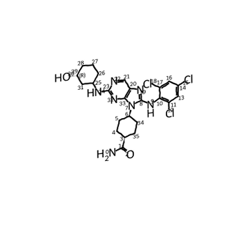 NC(=O)[C@H]1CC[C@@H](n2c(Nc3c(Cl)cc(Cl)cc3Cl)nc3cnc(NC4CCC[C@@H](O)C4)nc32)CC1